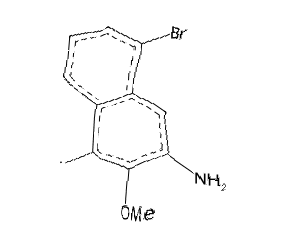 [CH2]c1c(OC)c(N)cc2c(Br)cccc12